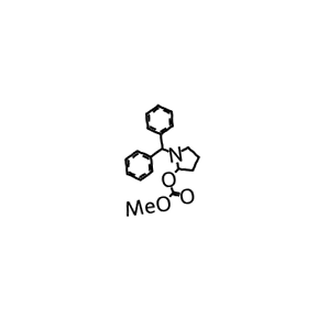 COC(=O)OC1CCCN1C(c1ccccc1)c1ccccc1